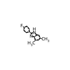 Cc1cc(C)c2nc(-c3ccc(F)cc3)[nH]c2c1